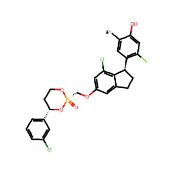 CC(C)c1cc([C@H]2CCc3cc(OC[P@@]4(=O)OCC[C@@H](c5cccc(Cl)c5)O4)cc(Cl)c32)c(F)cc1O